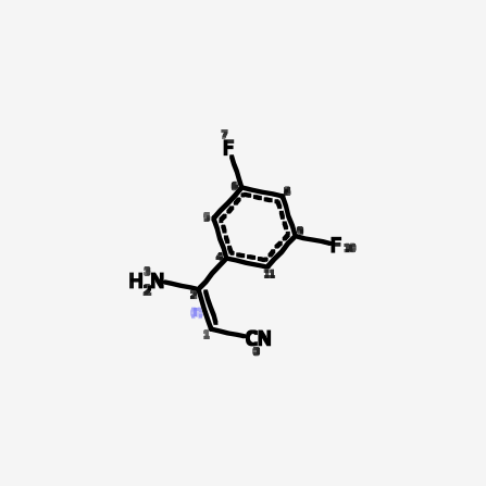 N#C/C=C(/N)c1cc(F)cc(F)c1